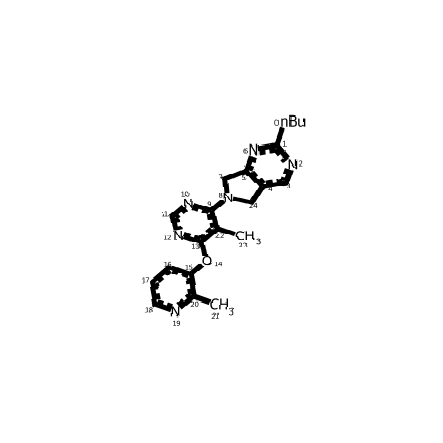 CCCCc1ncc2c(n1)CN(c1ncnc(Oc3cccnc3C)c1C)C2